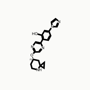 Oc1cc(-n2ccnc2)ccc1-c1cnc(O[C@H]2CCNC3(CC3)C2)cn1